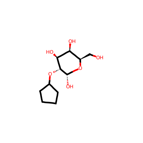 OC[C@H]1O[C@H](O)[C@H](OC2CCCC2)[C@@H](O)[C@H]1O